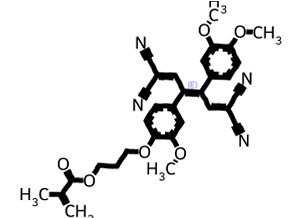 C=C(C)C(=O)OCCCOc1ccc(/C(C=C(C#N)C#N)=C(\C=C(C#N)C#N)c2ccc(OC)c(OC)c2)cc1OC